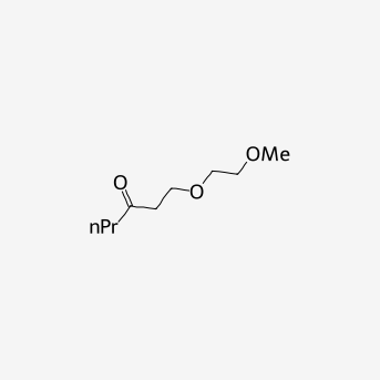 CCCC(=O)CCOCCOC